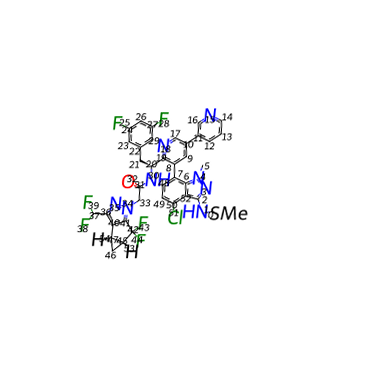 CSNc1nn(C)c2c(-c3cc(-c4cccnc4)cnc3[C@H](Cc3cc(F)cc(F)c3)NC(=O)Cn3nc(C(F)F)c4c3C(F)(F)[C@@H]3C[C@H]43)ccc(Cl)c12